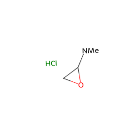 CNC1CO1.Cl